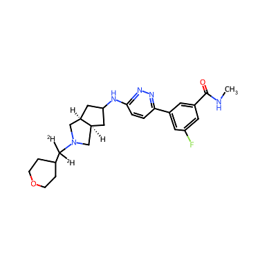 [2H]C([2H])(C1CCOCC1)N1C[C@H]2CC(Nc3ccc(-c4cc(F)cc(C(=O)NC)c4)nn3)C[C@H]2C1